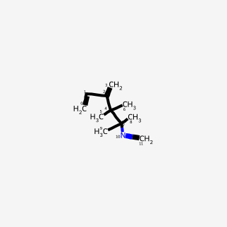 C=CC(=C)C(C)(C)C(C)(C)N=C